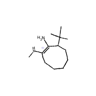 CN/C1=C(\N)C(C(C)(C)C)CCCCC1